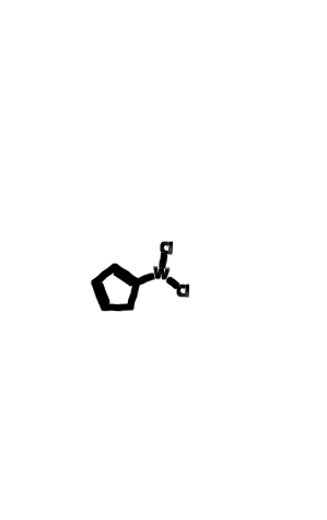 [Cl][W]([Cl])[C]1=CC=CC1